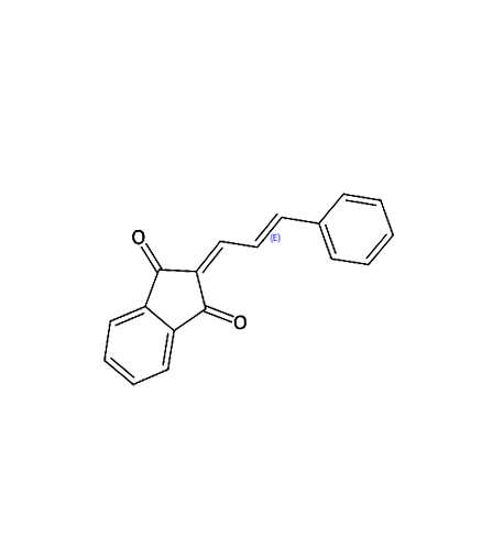 O=C1C(=C/C=C/c2ccccc2)C(=O)c2ccccc21